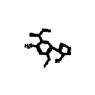 COC(=O)c1cc(-c2ccnn2C(C)C)c(CF)cc1N